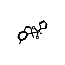 Cc1ccc2c(c1)[C](C)([Zr]([CH3])([Cl])([Cl])[CH]1C=CC=C1)C=C2